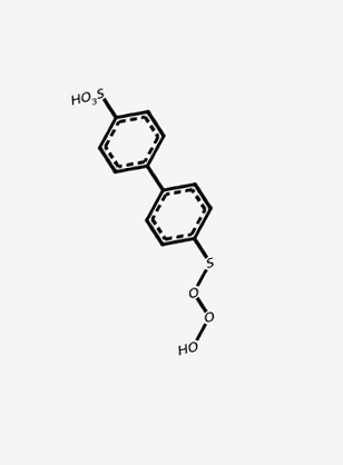 O=S(=O)(O)c1ccc(-c2ccc(SOOO)cc2)cc1